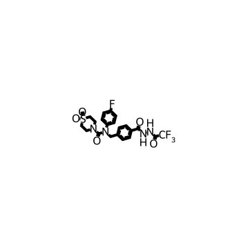 O=C(NNC(=O)C(F)(F)F)c1ccc(CN(C(=O)N2CCS(=O)(=O)CC2)c2ccc(F)cc2)cc1